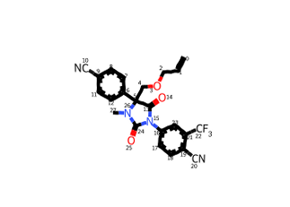 C=CCOCC1(c2ccc(C#N)cc2)C(=O)N(c2ccc(C#N)c(C(F)(F)F)c2)C(=O)N1C